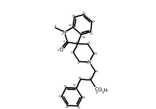 CN1C(=O)C2(CCN(CC(Cc3ccccc3)C(=O)O)CC2)c2ccccc21